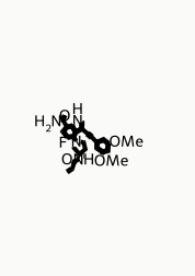 C=CC(=O)N[C@@H]1CCN(c2c(F)cc(C(N)=O)c3[nH]cc(C#Cc4cc(OC)cc(OC)c4)c23)C1